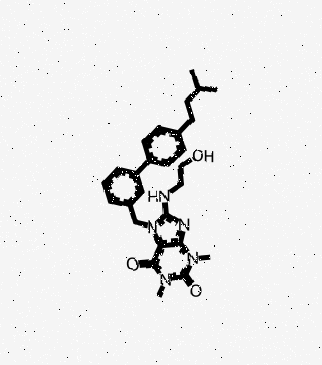 CC(C)CCc1ccc(-c2cccc(Cn3c(NCCO)nc4c3c(=O)n(C)c(=O)n4C)c2)cc1